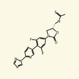 CC(=S)[N]C[C@H]1CN(c2cc(F)c(-c3ccc(-n4cncn4)nc3)c(F)c2)C(=O)O1